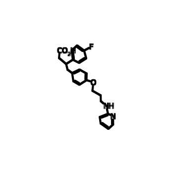 O=C(O)CC(Cc1ccc(OCCCNc2ccccn2)cc1)c1ccc(F)cc1